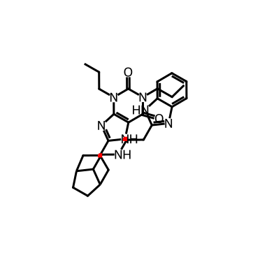 CCCn1c(=O)c2[nH]c(C3CC4CCC(C3)C4CNCCc3nc4ccccc4[nH]3)nc2n(CCC)c1=O